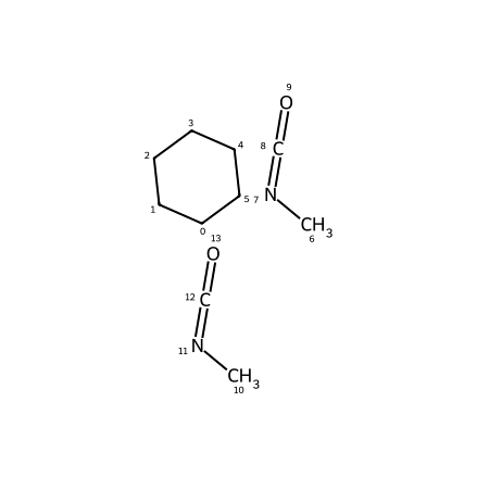 C1CCCCC1.CN=C=O.CN=C=O